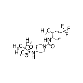 Cc1cc(C(F)(F)F)ccc1NC(=O)N1CCC(NS(=O)(=O)C(C)(C)C)CC1